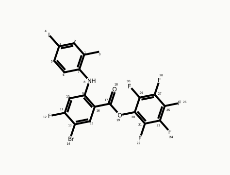 Cc1cc(I)ccc1Nc1cc(F)c(Br)cc1C(=O)Oc1c(F)c(F)c(F)c(F)c1F